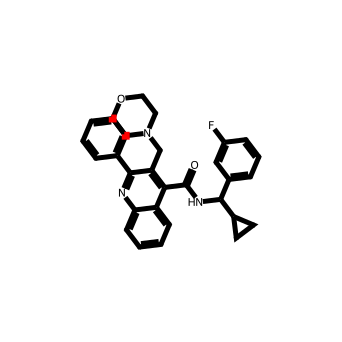 O=C(NC(c1cccc(F)c1)C1CC1)c1c(CN2CCOCC2)c(-c2ccccc2)nc2ccccc12